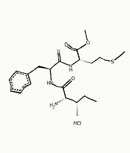 CC[C@H](C)[C@H](N)C(=O)N[C@@H](Cc1ccccc1)C(=O)N[C@@H](CCSC)C(=O)OC.Cl